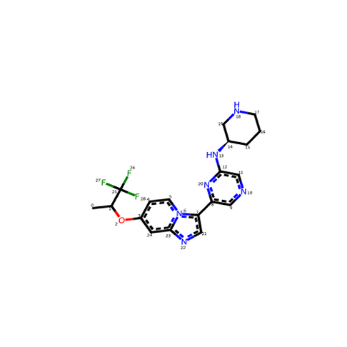 CC(Oc1ccn2c(-c3cncc(N[C@@H]4CCCNC4)n3)cnc2c1)C(F)(F)F